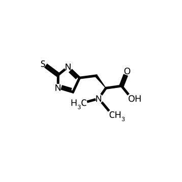 CN(C)[C@@H](CC1=NC(=S)N=C1)C(=O)O